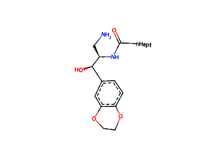 CCCCCCCC(=O)N[C@H](CN)[C@H](O)c1ccc2c(c1)OCCO2